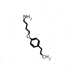 [CH2]CCc1ccc(OCCCCN)cc1